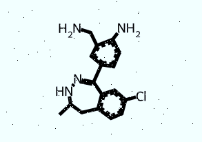 CC1Cc2ccc(Cl)cc2C(c2ccc(N)c(CN)c2)=NN1